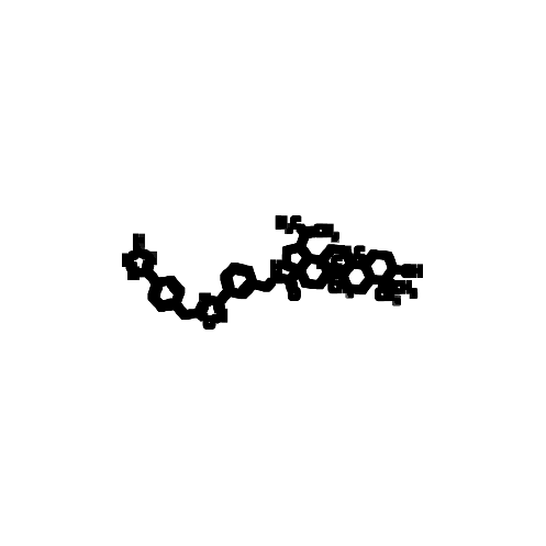 C=C(C)C1CCC2(C(=O)NCc3cccc(-c4noc(Cc5ccc(-c6nn[nH]n6)cc5)n4)c3)CC[C@]3(C)C(CCC4C5(C)CCC(O)C(C)(C)C5CCC43C)C12